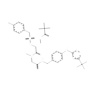 C[C@@H](C(=O)NCc1ccc(Nc2noc(C(C)(C)C)n2)cc1)N(C)C(=O)[C@@H](COC(=O)C(C)(C)C)NS(=O)(=O)Cc1ccc(Cl)cc1